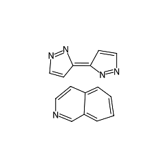 C1=CC(=C2C=CN=N2)N=N1.c1ccc2cnccc2c1